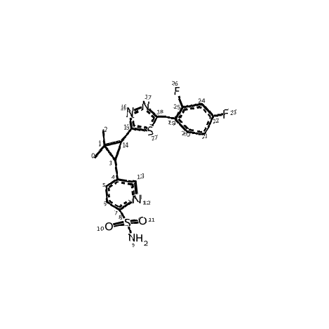 CC1(C)C(c2ccc(S(N)(=O)=O)nc2)C1c1nnc(-c2ccc(F)cc2F)s1